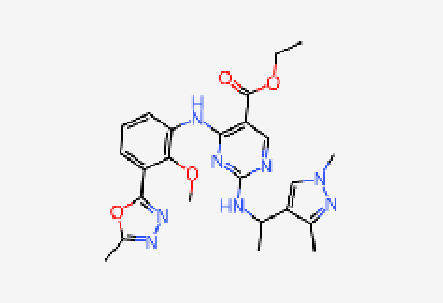 CCOC(=O)c1cnc(NC(C)c2cn(C)nc2C)nc1Nc1cccc(-c2nnc(C)o2)c1OC